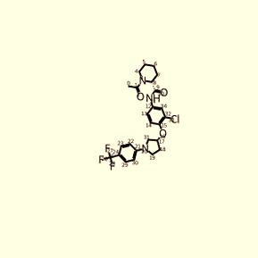 CC(=O)N1CCCC[C@@H]1C(=O)Nc1ccc(O[C@H]2CCN(c3ccc(C(F)(F)F)cc3)C2)c(Cl)c1